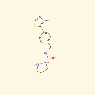 Cc1ncsc1-c1ccc(CNC(=O)[C@@H]2CCCN2)cc1